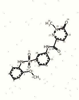 COc1ccccc1NS(=O)(=O)c1cccc(NC(=O)c2ccc(=O)n(C)n2)c1